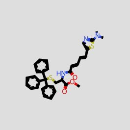 COC(=O)C(CSC(c1ccccc1)(c1ccccc1)c1ccccc1)NC(=O)/C=C/C=C/c1cnc(N(C)C)s1